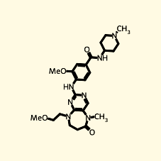 COCCN1CCC(=O)N(C)c2cnc(Nc3ccc(C(=O)NC4CCN(C)CC4)cc3OC)nc21